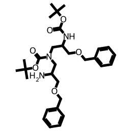 CC(C)(C)OC(=O)NC(COCc1ccccc1)CN(CC(N)COCc1ccccc1)C(=O)OC(C)(C)C